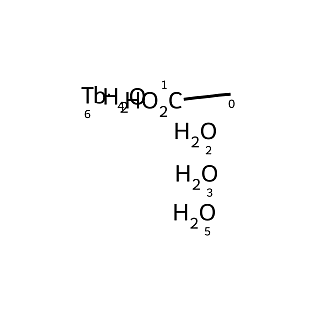 CC(=O)O.O.O.O.O.[Tb]